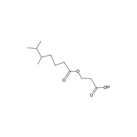 CC(C)C(C)CCCC(=O)OCCC(=O)O